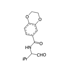 CC(C)C(C=O)NC(=O)c1ccc2c(c1)OCCO2